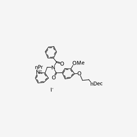 CCCCCCCCCCCCOc1ccc(C(=O)N(Cc2cccc[n+]2CCC)C(=O)c2ccccc2)cc1OC.[I-]